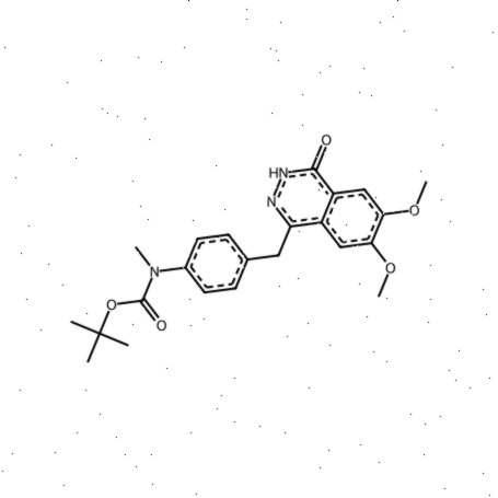 COc1cc2c(Cc3ccc(N(C)C(=O)OC(C)(C)C)cc3)n[nH]c(=O)c2cc1OC